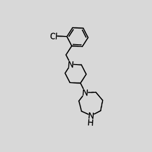 Clc1ccccc1CN1CCC(N2CCCNCC2)CC1